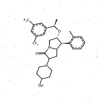 Cc1ccccc1[C@H]1C2CC(N3CCC(O)CC3)C(=O)N2C[C@@H]1O[C@H](C)c1cc(C(F)(F)F)cc(C(F)(F)F)c1